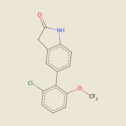 O=C1Cc2cc(-c3c(Cl)cccc3OC(F)(F)F)ccc2N1